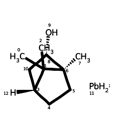 CC1(C)[C@@H]2CC[C@]1(C)[C@@H](O)C2.[PbH2]